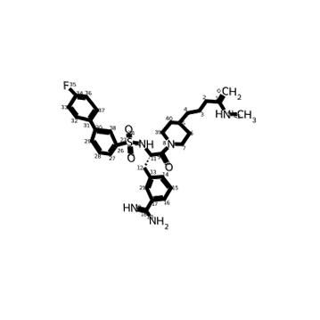 C=C(CCCC1CCN(C(=O)[C@H](Cc2cccc(C(=N)N)c2)NS(=O)(=O)c2cccc(-c3ccc(F)cc3)c2)CC1)NC